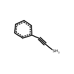 [SiH3]C#Cc1[c]cccc1